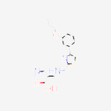 CCCOc1cccc(-c2csc(CN/C=C(\C=N/C)C(=O)O)n2)c1